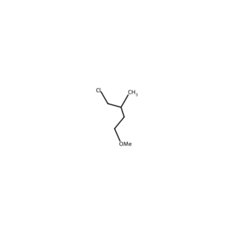 COCCC(C)CCl